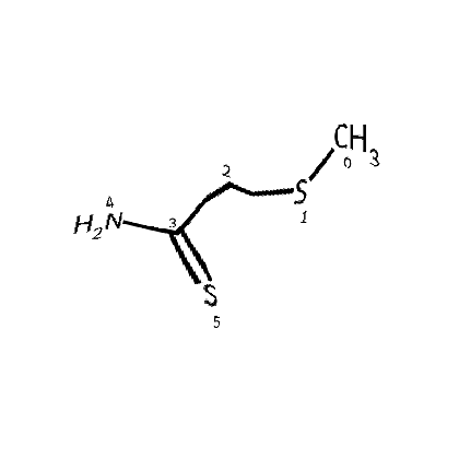 CSCC(N)=S